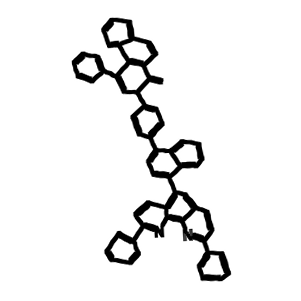 C=C1c2ccc3ccccc3c2C(c2ccccc2)=CC1c1ccc(-c2ccc(-c3cc4ccc(-c5ccccc5)nc4c4nc(-c5ccccc5)ccc34)c3ccccc23)cc1